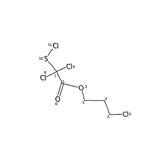 O=C(OCCCCl)C(Cl)(Cl)SCl